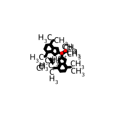 CC(C)CC1=Cc2c(C(C)C)ccc(C(C)C)c2[CH]1[Hf+2]1([CH]2C(CC(C)C)=Cc3c(C(C)C)ccc(C(C)C)c32)[CH2][CH2]1.[Cl-].[Cl-]